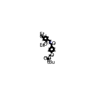 CCOc1ccc(/C=C/C(=O)c2ccc(OCOC(=O)C(C)(C)C)cc2)c(OCC)c1